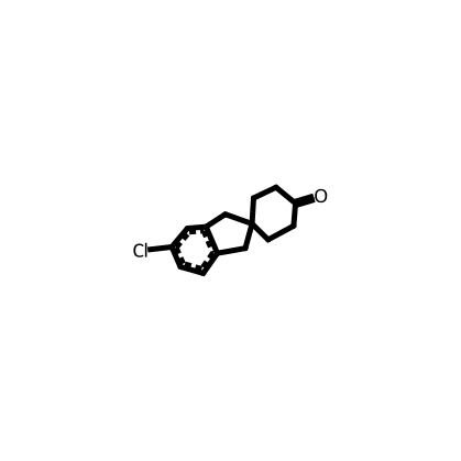 O=C1CCC2(CC1)Cc1ccc(Cl)cc1C2